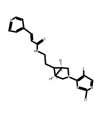 O=C(/C=C/c1ccncc1)NCCC1[C@H]2CN(c3nc(Cl)ncc3F)C[C@@H]12